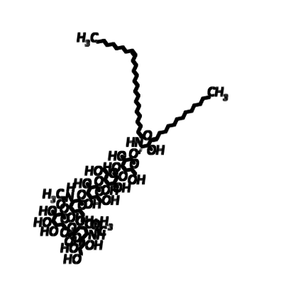 CCCCCCCC/C=C\CCCCCCCCCCCCCCCC(=O)N[C@@H](CO[C@@H]1OC(CO)[C@@H](O[C@@H]2OC(CO)[C@H](O[C@@H]3OC(CO)[C@H](O)[C@H](O[C@@H]4OC(CO)[C@H](O)[C@H](O[C@@H]5OC(CO[C@]6(C(=O)O)CC(O)[C@@H](NC(C)=O)C([C@H](O)[C@H](O)CO)O6)[C@H](O)[C@H](O)C5O)C4NC(C)=O)C3O)[C@H](O)C2O)[C@H](O)C1O)[C@H](O)/C=C/CCCCCCCCCCCCC